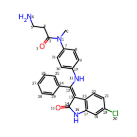 CN(C(=O)CCN)c1ccc(NC(=C2C(=O)Nc3cc(Cl)ccc32)c2ccccc2)cc1